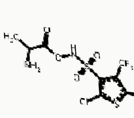 CC(N)C(=O)ONS(=O)(=O)c1c(Cl)sc(Cl)c1C(F)(F)F